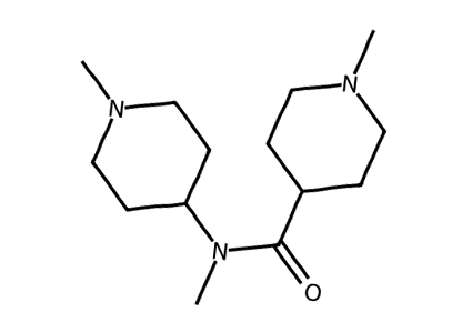 CN1CCC(C(=O)N(C)C2CCN(C)CC2)CC1